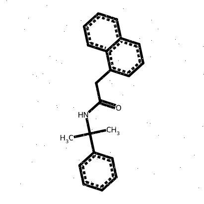 CC(C)(NC(=O)Cc1cccc2ccccc12)c1ccccc1